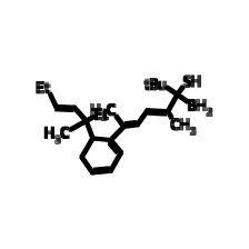 BC(S)(/C(C)=C/C=C(\C)C1=CC=CCC1C(C)(C=CCC)CC)C(C)(C)C